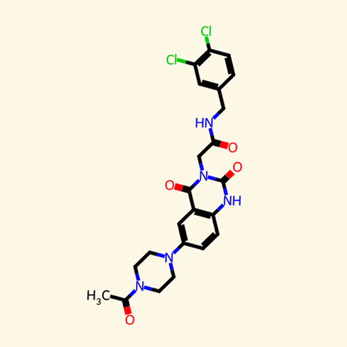 CC(=O)N1CCN(c2ccc3[nH]c(=O)n(CC(=O)NCc4ccc(Cl)c(Cl)c4)c(=O)c3c2)CC1